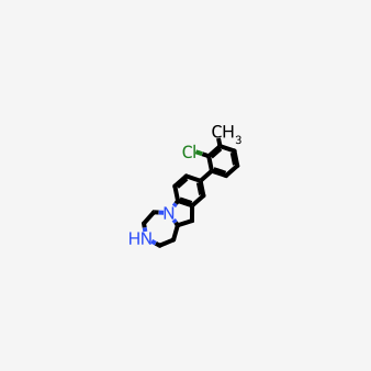 Cc1cccc(-c2ccc3c(c2)CC2CCNCCN32)c1Cl